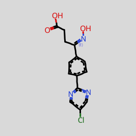 O=C(O)CC/C(=N\O)c1ccc(-c2ncc(Cl)cn2)cc1